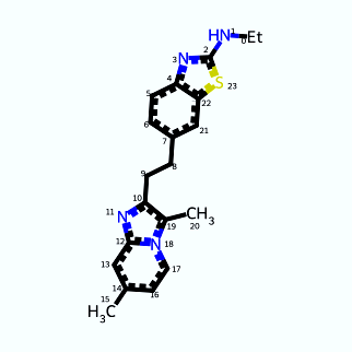 CCNc1nc2ccc(CCc3nc4cc(C)ccn4c3C)cc2s1